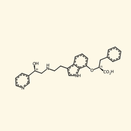 O=C(O)[C@H](Cc1ccccc1)Oc1cccc2c(CCNC[C@H](O)c3cccnc3)c[nH]c12